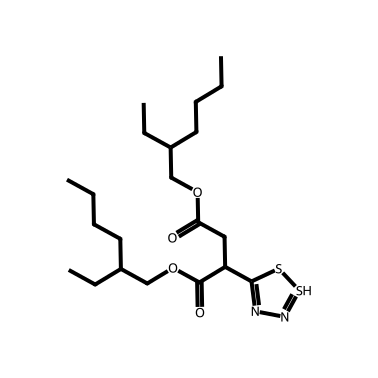 CCCCC(CC)COC(=O)CC(C(=O)OCC(CC)CCCC)C1=NN=[SH]S1